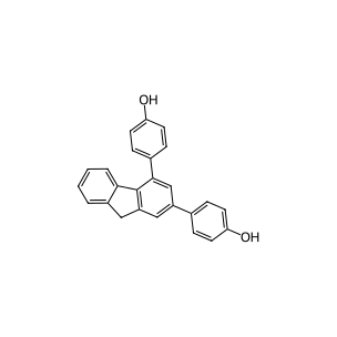 Oc1ccc(-c2cc3c(c(-c4ccc(O)cc4)c2)-c2ccccc2C3)cc1